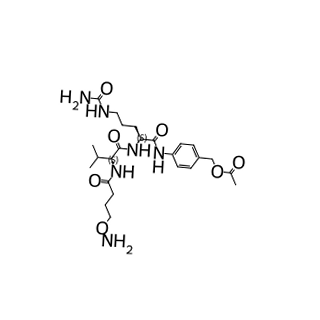 CC(=O)OCc1ccc(NC(=O)[C@H](CCCNC(N)=O)NC(=O)[C@@H](NC(=O)CCCON)C(C)C)cc1